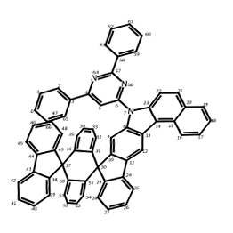 c1ccc(-c2cc(-n3c4cc5c(cc4c4c6ccccc6ccc43)-c3ccccc3C53c4ccccc4C4(c5ccccc5-c5ccccc54)c4ccccc43)nc(-c3ccccc3)n2)cc1